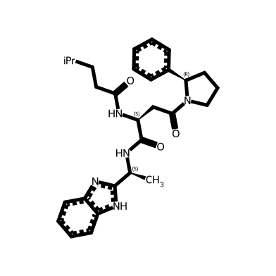 CC(C)CCC(=O)N[C@@H](CC(=O)N1CCC[C@@H]1c1ccccc1)C(=O)N[C@@H](C)c1nc2ccccc2[nH]1